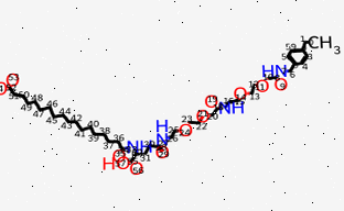 CCc1ccc(CNC(=O)COCCOCCNC(=O)COCCOCCNC(=O)CC[C@H](NC(=O)CCCCCCCCCCCCCCCCC(=O)O)C(=O)O)cc1